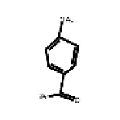 CC(=O)Oc1ccc(C(=O)C(C)C)cc1